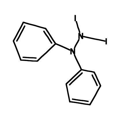 IN(I)N(c1ccccc1)c1ccccc1